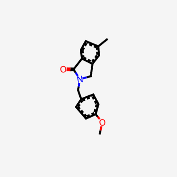 COc1ccc(CN2Cc3cc(C)ccc3C2=O)cc1